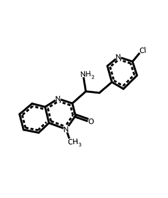 Cn1c(=O)c(C(N)Cc2ccc(Cl)nc2)nc2ccccc21